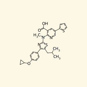 CC(C)Cc1sc(N(C)c2ncc(-c3cccs3)cc2C(=O)O)nc1-c1ccc(OC2CC2)cc1